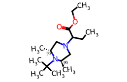 CCOC(=O)C(CC)N1C[C@@H](C)N(C(C)(C)C)[C@H](C)C1